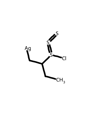 CCC([CH2][Ag])S(Cl)=S=S